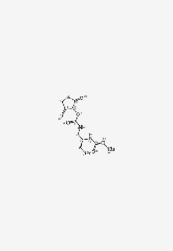 CC(C)C[C@@H](CNC(=O)ON1C(=O)CCC1=O)NC(=O)OC(C)(C)C